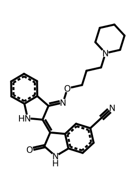 N#Cc1ccc2c(c1)/C(=C1/Nc3ccccc3/C1=N\OCCCN1CCCCC1)C(=O)N2